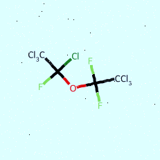 FC(F)(OC(F)(Cl)C(Cl)(Cl)Cl)C(Cl)(Cl)Cl